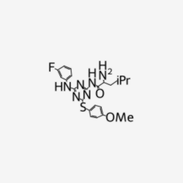 COc1ccc(Sc2nc(NC(=O)[C@@H](N)CC(C)C)nc(Nc3cccc(F)c3)n2)cc1